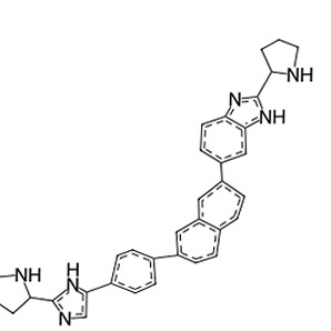 c1cc(-c2cnc(C3CCCN3)[nH]2)ccc1-c1ccc2ccc(-c3ccc4nc(C5CCCN5)[nH]c4c3)cc2c1